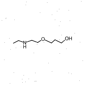 CCNCCOCCCO